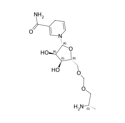 C[C@H](N)COCOC[C@H]1O[C@@H](N2C=CCC(C(N)=O)=C2)[C@H](O)[C@@H]1O